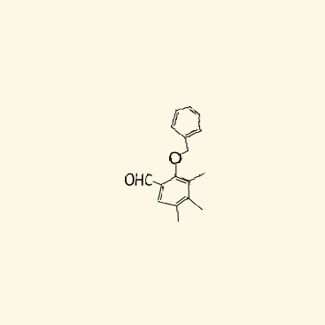 Cc1cc(C=O)c(OCc2ccccc2)c(C)c1C